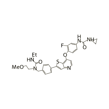 CCNC(=O)N(CCOC)Cc1ccc(-c2cc3nccc(Oc4ccc(NC(=O)NC5CC5)cc4F)c3s2)cc1